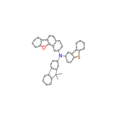 CC1(C)c2ccccc2-c2ccc(N(c3ccc4sc5ccccc5c4c3)c3ccc4ccc5c6ccccc6oc5c4c3)cc21